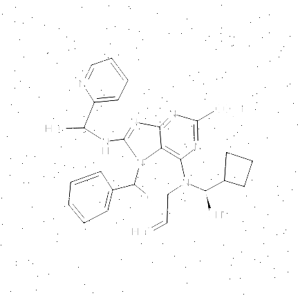 C=CCN(c1nc(C(=O)O)nc2nc(NC(C)c3ccccn3)n(C(c3ccccc3)C(F)(F)F)c12)[C@H](C)C1CCC1